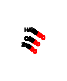 [O]=[AlH].[O]=[Cd].[O]=[Zn]